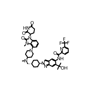 CN(C[C@H]1CC[C@H](n2cc3cc(NC(=O)c4cccc(C(F)(F)F)n4)c(C(C)(C)O)cc3n2)CC1)C1CCN(c2cccc3c2n(C)c(=O)n3C2CCC(=O)NC2=O)CC1